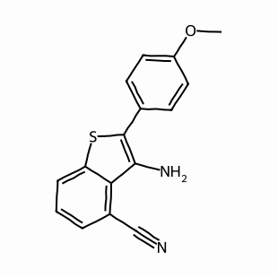 COc1ccc(-c2sc3cccc(C#N)c3c2N)cc1